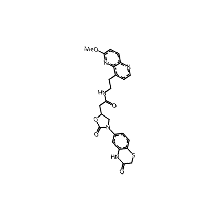 COc1ccc2nccc(CCNC(=O)CC3CN(c4ccc5c(c4)NC(=O)CS5)C(=O)O3)c2n1